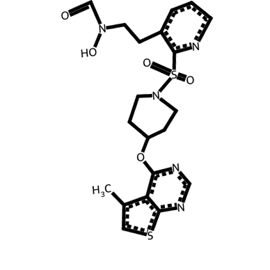 Cc1csc2ncnc(OC3CCN(S(=O)(=O)c4ncccc4CCN(O)C=O)CC3)c12